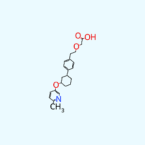 Cc1ccc(OC2CCCC(c3ccc(CCOCC(=O)O)cc3)C2)cn1